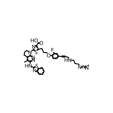 CN=[N+]=NCCCNCC#Cc1ccc(OCCCc2sc(N3CCCc4c3nnc(Nc3nc5ccccc5s3)c4C)nc2C(=O)O)c(F)c1